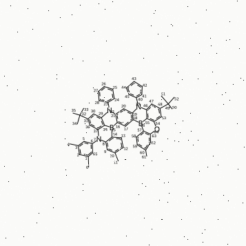 Cc1cc(C)cc(N2c3cc(C)ccc3B3c4cc5c(cc4N(c4ccccc4)c4cc(C(C)(C)C)cc2c43)N(c2ccccc2)c2cc(C(C)(C)C)cc3c2B5c2ccc(C)cc2O3)c1